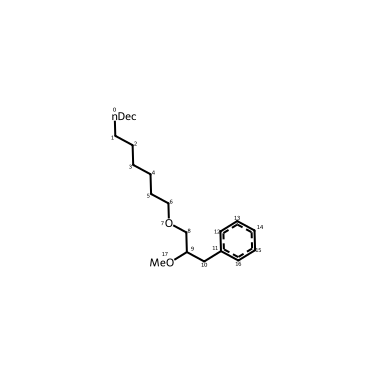 CCCCCCCCCCCCCCCCOCC(Cc1c[c]ccc1)OC